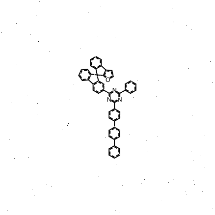 c1ccc(-c2ccc(-c3ccc(-c4nc(-c5ccccc5)nc(-c5ccc6c(c5)C5(c7ccccc7-6)c6ccccc6-c6ccoc65)n4)cc3)cc2)cc1